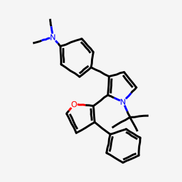 CN(C)c1ccc(-c2ccn(C(C)(C)C)c2-c2occc2-c2ccccc2)cc1